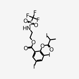 CC(I)C(=O)Oc1c(I)cc(I)cc1C(=O)OCCNS(=O)(=O)C(F)(F)F